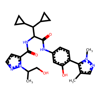 Cc1cnn(C)c1-c1ccc(NC(=O)C(NC(=O)c2ccnn2C(C)CO)C(C2CC2)C2CC2)cc1O